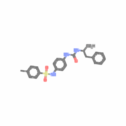 Cc1ccc(S(=O)(=O)Nc2ccc(NC(=O)NC(Cc3ccccc3)C(=O)O)cc2)cc1